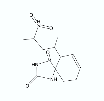 CC(CC(C)[SH](=O)=O)C1C=CCCC12NC(=O)NC2=O